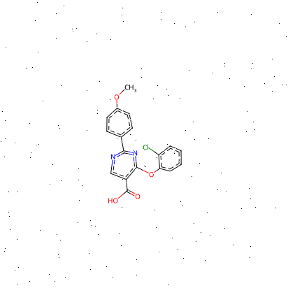 COc1ccc(-c2ncc(C(=O)O)c(Oc3ccccc3Cl)n2)cc1